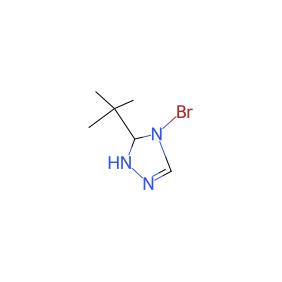 CC(C)(C)C1NN=CN1Br